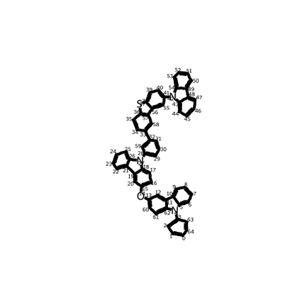 c1ccc(-n2c3ccccc3c3cc(Oc4ccc5c(c4)c4ccccc4n5-c4cccc(-c5ccc6sc7ccc(-n8c9ccccc9c9ccccc98)cc7c6c5)c4)ccc32)cc1